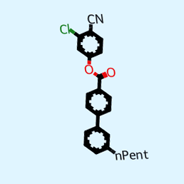 CCCCCc1cccc(-c2ccc(C(=O)Oc3ccc(C#N)c(Cl)c3)cc2)c1